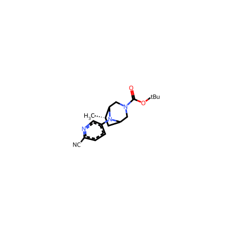 C[C@H]1CC2CN(C(=O)OC(C)(C)C)CC1N2c1ccc(C#N)nc1